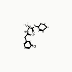 C[C@H](NC(=O)Cc1cccc(Cl)c1)C(=O)OC1C=CCCC1